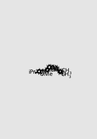 COc1cc(CC(C)C)ccc1COc1ccc2c(c1)CCC(CN1CCN(c3ccc(C)c(C)c3)CC1)=C2C